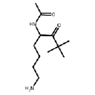 CC(=O)NC(CCCCN)C(=O)C(C)(C)C